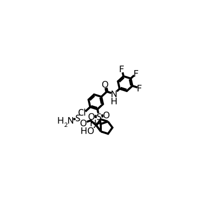 NSOC[C@@]1(O)CC2CCC1[C@@H]2S(=O)(=O)c1cc(C(=O)Nc2cc(F)c(F)c(F)c2)ccc1Cl